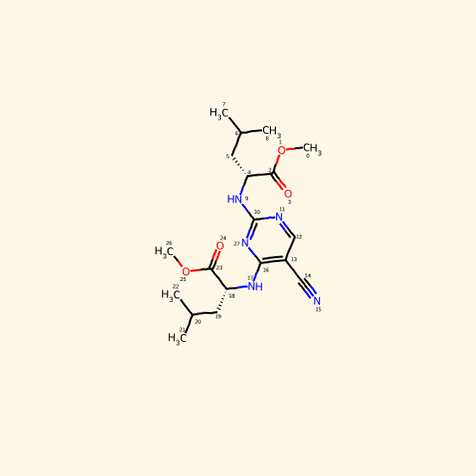 COC(=O)[C@@H](CC(C)C)Nc1ncc(C#N)c(N[C@H](CC(C)C)C(=O)OC)n1